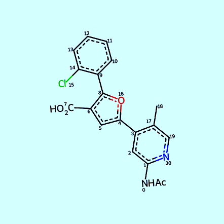 CC(=O)Nc1cc(-c2cc(C(=O)O)c(-c3ccccc3Cl)o2)c(C)cn1